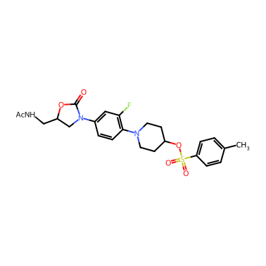 CC(=O)NCC1CN(c2ccc(N3CCC(OS(=O)(=O)c4ccc(C)cc4)CC3)c(F)c2)C(=O)O1